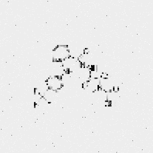 CN(C(=O)O)C1(C(=O)NNC(=O)c2ccccc2Nc2ccc(C(F)(F)F)cc2)CC1